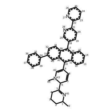 CC1CCCC(C2C=CC(c3c4ccccc4c(-c4ccc(-c5ccccn5)nc4)c4ccc(-c5ccccc5)cc34)=CN2C)=N1